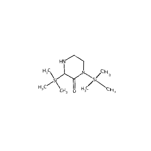 C[Si](C)(C)C1NCCN([Si](C)(C)C)C1=O